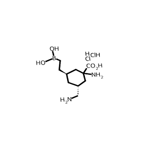 Cl.Cl.NC[C@@H]1C[C@@H](CCB(O)O)CC(N)(C(=O)O)C1